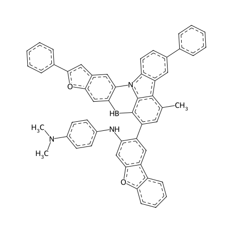 Cc1cc(-c2cc3c(cc2Nc2ccc(N(C)C)cc2)oc2ccccc23)c2c3c1c1cc(-c4ccccc4)ccc1n3-c1cc3cc(-c4ccccc4)oc3cc1B2